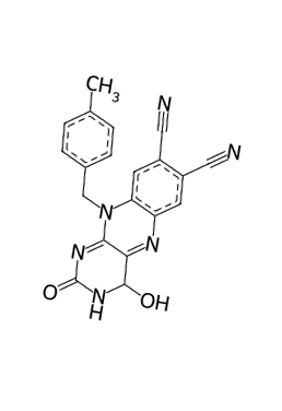 Cc1ccc(CN2C3=NC(=O)NC(O)C3=Nc3cc(C#N)c(C#N)cc32)cc1